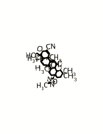 Cc1noc([C@]23CCC(C)(C)CC2C2C(=O)C=C4[C@@]5(C)C=C(C#N)C(=O)[C@@](C)(CO)[C@@H]5CC[C@@]4(C)[C@]2(C)CC3)n1